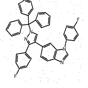 Fc1ccc(-c2nn(C(c3ccccc3)(c3ccccc3)c3ccccc3)cc2-c2ccc3ncn(-c4ccc(F)cc4)c3c2)cc1